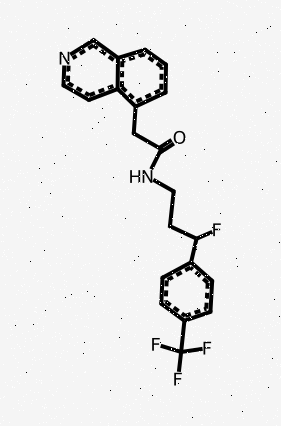 O=C(Cc1cccc2cnccc12)NCCC(F)c1ccc(C(F)(F)F)cc1